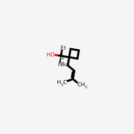 CCCC[C@@](O)(CC)C1(CC=C(C)C)CCC1